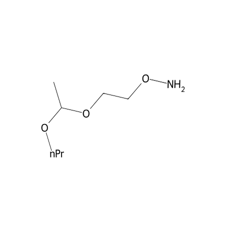 CCCOC(C)OCCON